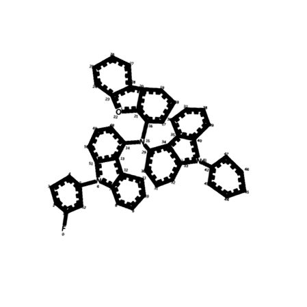 Fc1cccc(-n2c3ccccc3c3c(N(c4cccc5c4oc4ccccc45)c4cccc5c4c4ccccc4n5-c4ccccc4)cccc32)c1